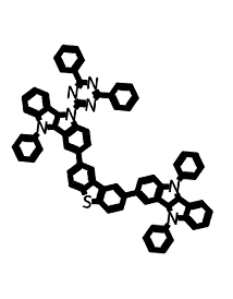 c1ccc(-c2nc(-c3ccccc3)nc(N3c4ccc(-c5ccc6sc7ccc(-c8ccc9c(c8)C8C(c%10ccccc%10N8c8ccccc8)N9c8ccccc8)cc7c6c5)cc4C4C3c3ccccc3N4c3ccccc3)n2)cc1